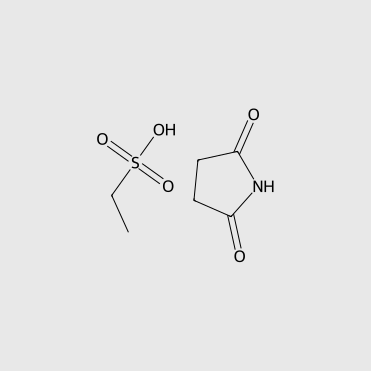 CCS(=O)(=O)O.O=C1CCC(=O)N1